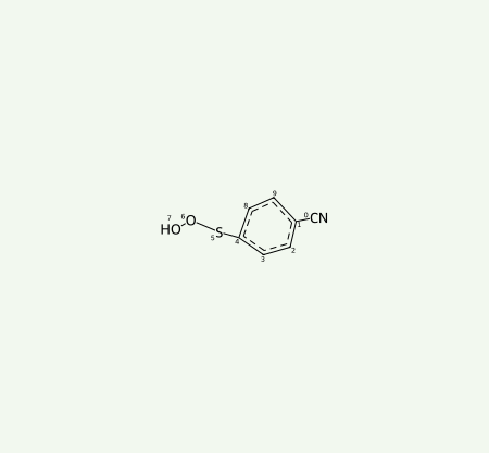 N#Cc1ccc(SOO)cc1